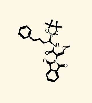 COC=C(C(=O)N[C@@H](CCCc1ccccc1)B1OC(C)(C)C(C)(C)O1)N1C(=O)c2ccccc2C1=O